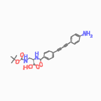 CC(C)(C)OC(=O)NCC(NC(=O)c1ccc(C#CC#Cc2ccc(N)cc2)cc1)C(=O)O